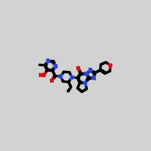 CCC1CN(C(=O)c2ncnc(C)c2O)CCN1c1c2n(c3nc(C4=CCOCC4)nn3c1=O)CCC2